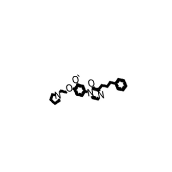 COc1cc(-n2ccnc(CCCc3ccccc3)c2=O)ccc1OCCN1CCCC1